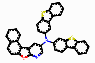 c1ccc2c(c1)ccc1oc3ncc(N(c4ccc5c(c4)sc4ccccc45)c4ccc5sc6ccccc6c5c4)cc3c12